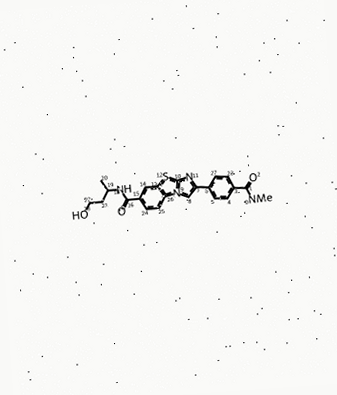 CNC(=O)c1ccc(-c2cn3c(n2)sc2cc(C(=O)NC(C)CCO)ccc23)cc1